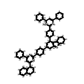 C1=C(c2ccccc2)N=C(c2ccc(-c3cc(-c4ccc(-c5nc(-c6ccccc6)cc(-c6cccc7ccccc67)n5)cc4)cc4sc5ccccc5c34)cc2)NC1c1ccccc1